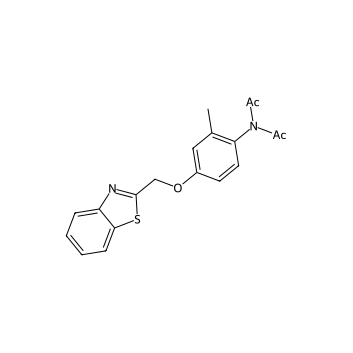 CC(=O)N(C(C)=O)c1ccc(OCc2nc3ccccc3s2)cc1C